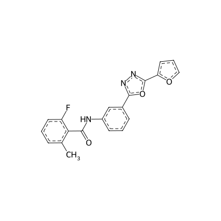 Cc1cccc(F)c1C(=O)Nc1cccc(-c2nnc(-c3ccco3)o2)c1